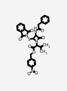 C=C(C)C(C(=O)OCc1ccc([N+](=O)[O-])cc1)N1C(=O)C(NC(=O)Cc2ccccc2)C1SN1C(=O)c2ccccc2C1=O